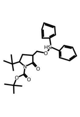 CC(C)(C)OC(=O)N1C(=O)C(CO[SiH](c2ccccc2)c2ccccc2)CC1C(C)(C)C